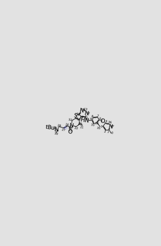 Cc1ccc(Oc2ccc(Nc3ncnc4sc5c(c34)[C@@H](C)CN(C(=O)/C=C/CN(C)C(C)(C)C)C5)cc2C)cn1